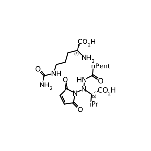 CCCCCC(=O)NN([C@H](C(=O)O)C(C)C)N1C(=O)C=CC1=O.NC(=O)NCCC[C@H](N)C(=O)O